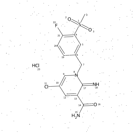 CS(=O)(=O)c1cc(Cn2cc(Cl)cc(C(N)=O)c2=N)ccc1F.Cl